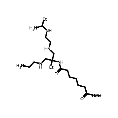 CCC(N)NCCNCC(CC)(CNCCN)NC(=O)CCCCCC(=O)NC